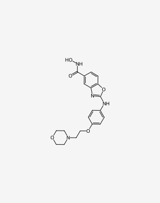 O=C(NO)c1ccc2oc(Nc3ccc(OCCN4CCOCC4)cc3)nc2c1